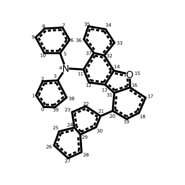 c1ccc(N(c2ccccc2)c2cc3c(oc4cccc(-c5ccc6ccccc6c5)c43)c3ccccc23)cc1